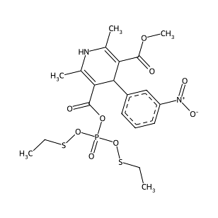 CCSOP(=O)(OSCC)OC(=O)C1=C(C)NC(C)=C(C(=O)OC)C1c1cccc([N+](=O)[O-])c1